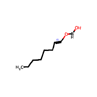 CCCCCC/C=C/OBO